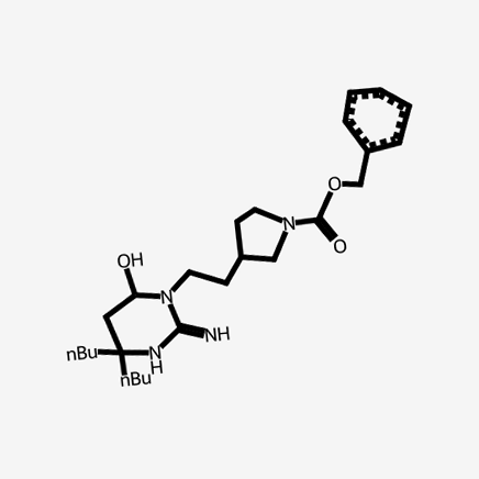 CCCCC1(CCCC)CC(O)N(CCC2CCN(C(=O)OCc3ccccc3)C2)C(=N)N1